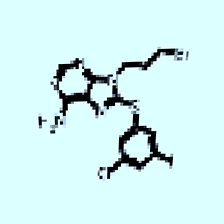 Nc1ncnc2c1nc(Sc1cc(Cl)cc(I)c1)n2CCCBr